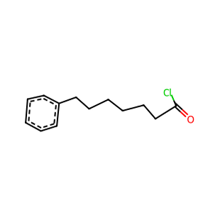 O=C(Cl)CCCCCCc1ccccc1